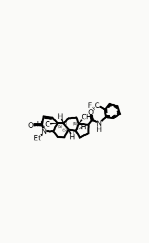 CCN1C(=O)C=C[C@@]2(C)C1CC[C@@H]1[C@H]2CC[C@]2(C)C(C(=O)Nc3ccccc3C(F)(F)F)CC[C@@H]12